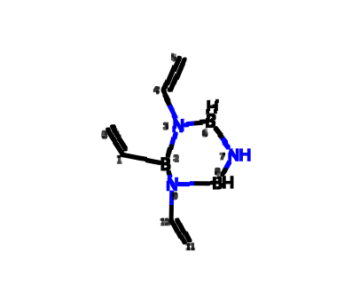 C=CB1N(C=C)BNBN1C=C